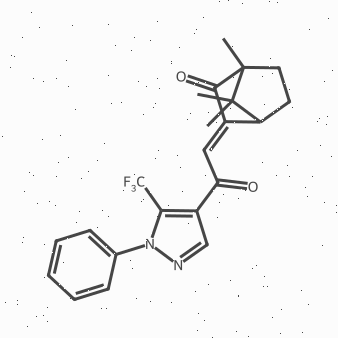 CC12CCC(/C(=C\C(=O)c3cnn(-c4ccccc4)c3C(F)(F)F)C1=O)C2(C)C